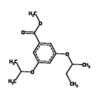 CCC(C)Oc1cc(OC(C)C)cc(C(=O)OC)c1